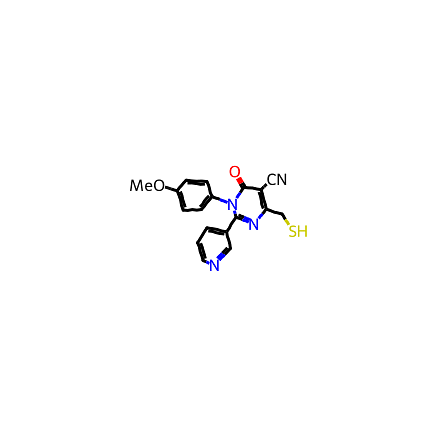 COc1ccc(-n2c(-c3cccnc3)nc(CS)c(C#N)c2=O)cc1